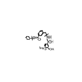 CC(C)(Cc1cccc(C(=O)NCC(C)(C)c2ccccc2)c1)NC[C@@H](O)c1ccc(O)c(CO)c1